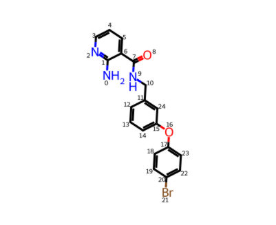 Nc1ncccc1C(=O)NCc1cccc(Oc2ccc(Br)cc2)c1